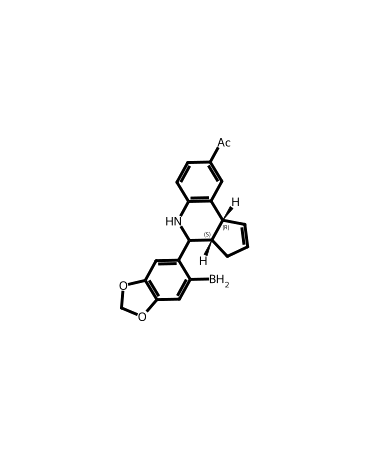 Bc1cc2c(cc1C1Nc3ccc(C(C)=O)cc3[C@@H]3C=CC[C@H]13)OCO2